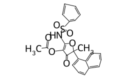 CC(=O)OC1=C(NS(=O)(=O)c2ccccc2)OC(C)(c2cccc3ccccc23)C1=O